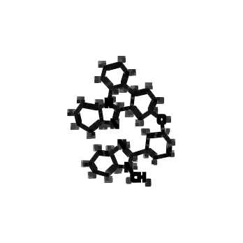 Cn1c(-c2cccc(Oc3ccc4c5ccccc5n5c6ccccc6nc5c4c3)c2)nc2ccccc21